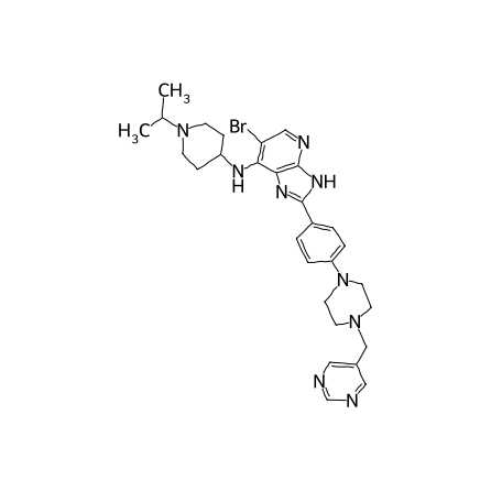 CC(C)N1CCC(Nc2c(Br)cnc3[nH]c(-c4ccc(N5CCN(Cc6cncnc6)CC5)cc4)nc23)CC1